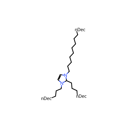 CCCCCCCCCCCCCCCCCCCN1C=CN(CCCCCCCCCCCCC)C1CCCCCCCCCCCCC